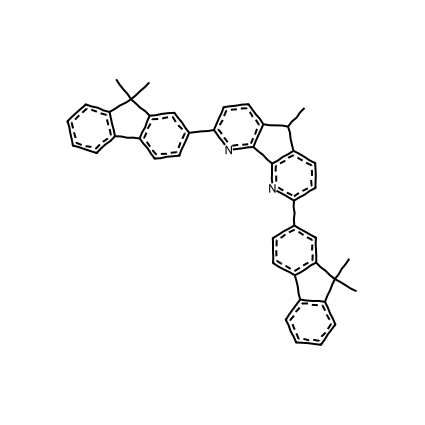 CC1c2ccc(-c3ccc4c(c3)C(C)(C)c3ccccc3-4)nc2-c2nc(-c3ccc4c(c3)C(C)(C)c3ccccc3-4)ccc21